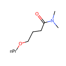 CCCOCCCC(=O)N(C)C